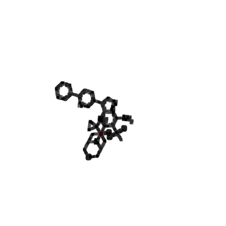 CS(=O)(=O)c1c(C2CC3COCC(C2)N3C(=O)C2(O)CC2)nc2c(-c3ccc(-c4ccccc4)nc3)cnn2c1N